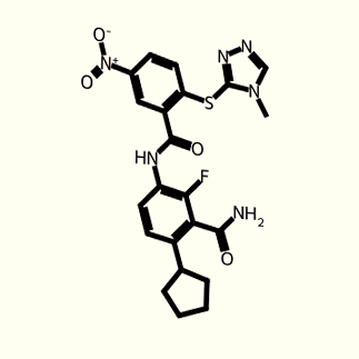 Cn1cnnc1Sc1ccc([N+](=O)[O-])cc1C(=O)Nc1ccc(C2CCCC2)c(C(N)=O)c1F